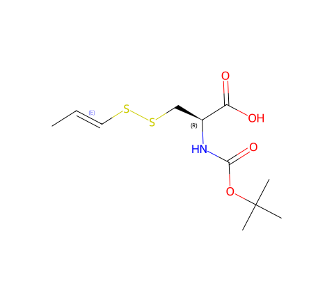 C/C=C/SSC[C@H](NC(=O)OC(C)(C)C)C(=O)O